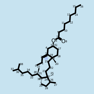 CC/C=C1/C[C@@H](OC(=O)CCCCCCCC)CC[C@]1(C)CCC[C@@]1(C)C(C)CC[C@@H]1[C@H](C)CCCC(C)C